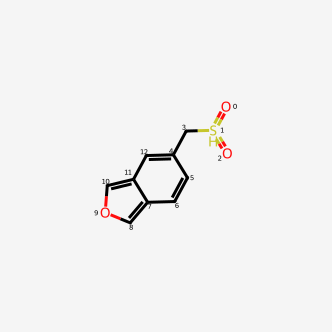 O=[SH](=O)Cc1ccc2cocc2c1